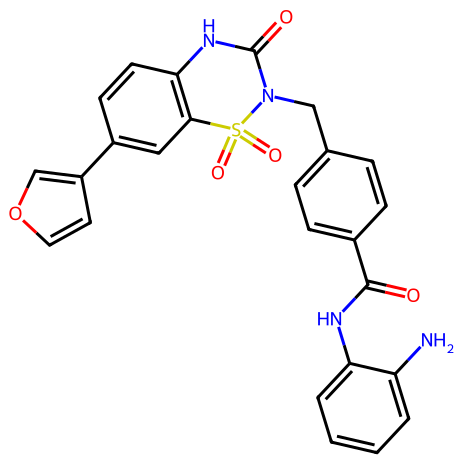 Nc1ccccc1NC(=O)c1ccc(CN2C(=O)Nc3ccc(-c4ccoc4)cc3S2(=O)=O)cc1